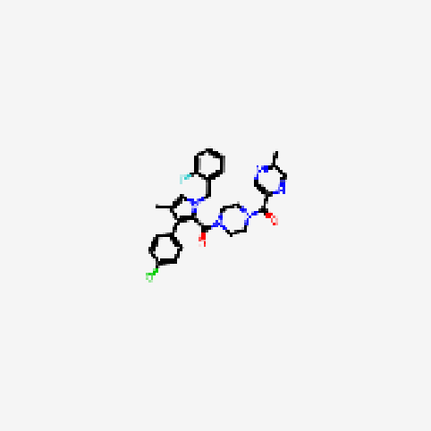 Cc1cnc(C(=O)N2CCN(C(=O)c3c(-c4ccc(Cl)cc4)c(C)cn3Cc3ccccc3F)CC2)cn1